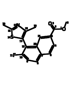 COC(=O)c1ccc2ccc(F)c(-c3sc(C)nc3C)c2c1